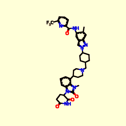 Cc1cc2nn(C3CCC(CN4CCC(c5cccc6c5n(C)c(=O)n6C5CCC(=O)NC5=O)CC4)CC3)cc2cc1NC(=O)c1cccc(C(F)(F)F)n1